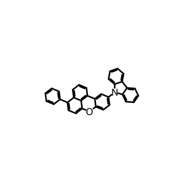 c1ccc(-c2ccc3c4c(cccc24)-c2cc(-n4c5ccccc5c5ccccc54)ccc2O3)cc1